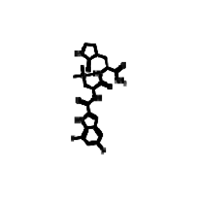 C[Si](C)(C)C[C@H](NC(=O)c1cc2cc(F)cc(F)c2[nH]1)C(=O)N[C@@H](C[C@@H]1CCNC1=O)C(N)=O